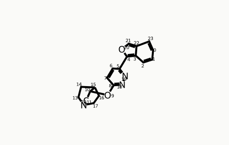 c1ccc2c(-c3ccc(OC4CN5CCC4CC5)nn3)occ2c1